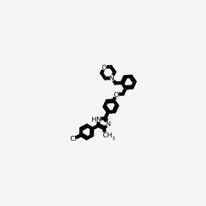 Cc1nc(-c2ccc(OCc3ccccc3CN3CCOCC3)cc2)[nH]c1-c1ccc(Cl)cc1